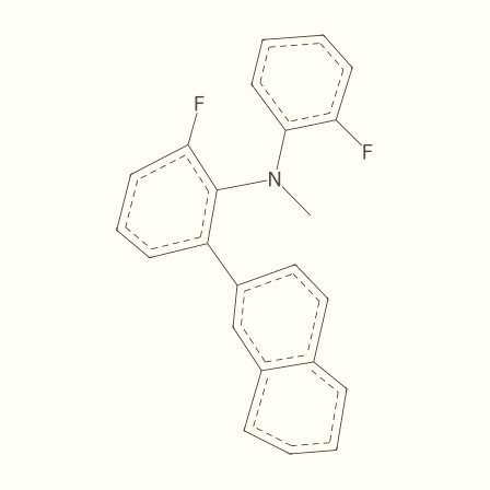 CN(c1ccccc1F)c1c(F)cccc1-c1ccc2ccccc2c1